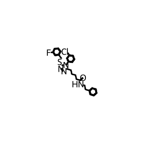 O=C(CCCCc1nnc(SCc2cccc(F)c2)n1-c1cccc(Cl)c1)NCCc1ccccc1